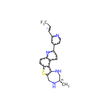 C[C@@H]1CNc2c(sc3ccc4nc(-c5ccnc(/C=C/C(F)(F)F)c5)ccc4c23)CN1